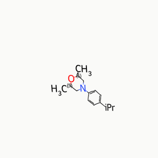 CC(C)c1ccc(N2C[C@H](C)O[C@@H](C)C2)cc1